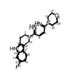 N=C(/C=C\C(=N)N1CCc2[nH]c3cc(F)ccc3c2C1)N1CCOCC1